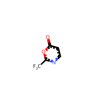 O=c1ccnc(C(F)(F)F)o1